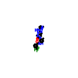 Cc1ccc(NC(=O)c2cccc(C(F)(F)F)c2)cc1N1Cc2cnc(Nc3ccn(C)n3)nc2N(C)C1=O